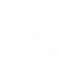 C[C@H](c1cccc(F)c1F)n1nc2c(c1Cl)CCN(c1cccc(Cl)c1F)C2=O